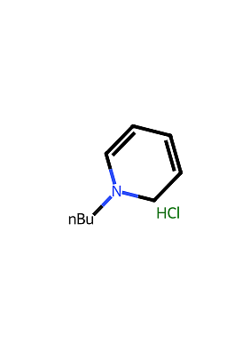 CCCCN1C=CC=CC1.Cl